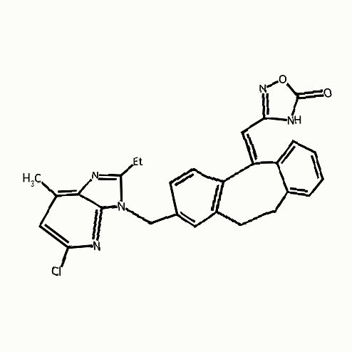 CCc1nc2c(C)cc(Cl)nc2n1Cc1ccc2c(c1)CCc1ccccc1C2=Cc1noc(=O)[nH]1